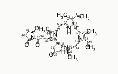 C=Cc1c(C)c2cc3nc(c4c5[nH]c(cc6nc(cc1[nH]2)C(C)=C6CC)c(C)c5C(=O)C4)[C@@H](CCC(=O)N1C(=O)CCC1=O)[C@@H]3C